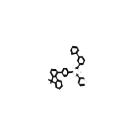 CC1(C)c2ccccc2-c2c(-c3ccc(-c4nc(-c5cccnc5)nc(-c5cccc(-c6ccccc6)c5)n4)cc3)cccc21